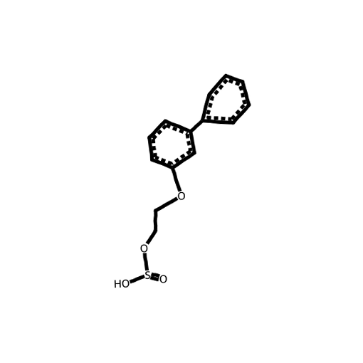 O=S(O)OCCOc1cccc(-c2ccccc2)c1